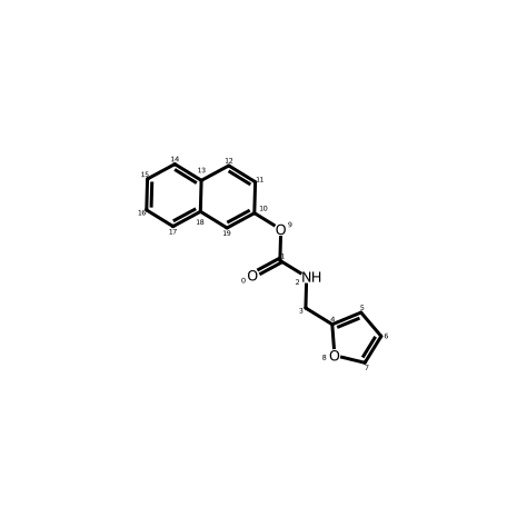 O=C(NCc1ccco1)Oc1ccc2ccccc2c1